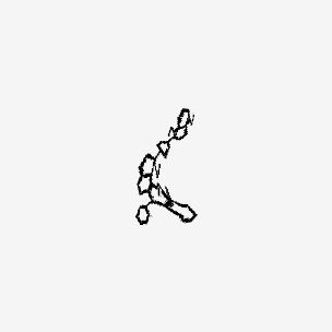 c1ccc(-c2c3ccccc3nc3c2ccc2ccc(-c4ccc(-c5ccc6ncccc6n5)cc4)nc23)cc1